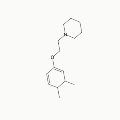 CC1C=CC(OCCN2CCCCC2)=CC1C